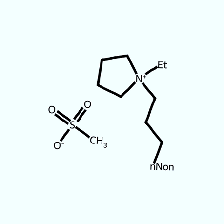 CCCCCCCCCCCC[N+]1(CC)CCCC1.CS(=O)(=O)[O-]